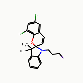 CC1(C)c2ccccc2N(CCCI)C12C=Cc1cc(Br)cc(Br)c1O2